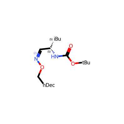 CCCCCCCCCCCO/N=C\[C@@H](NC(=O)OC(C)(C)C)[C@@H](C)CC